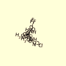 CS[C@@]1(NC(=O)c2cnc3cc(Cl)ccc3c2)CC[C@H](C(=O)NNC(=O)OC/C=C/C(F)(F)F)N(C(=O)OC(C)(C)C)C1